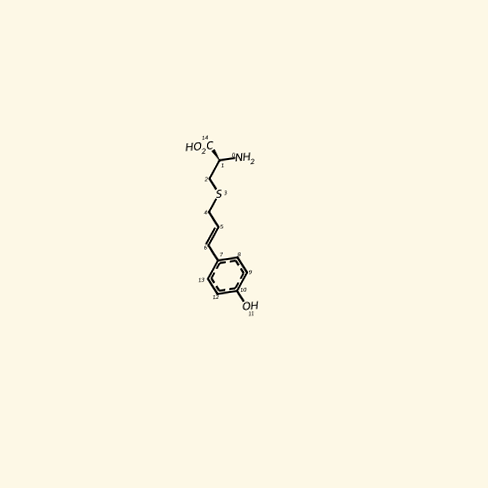 N[C@@H](CSCC=Cc1ccc(O)cc1)C(=O)O